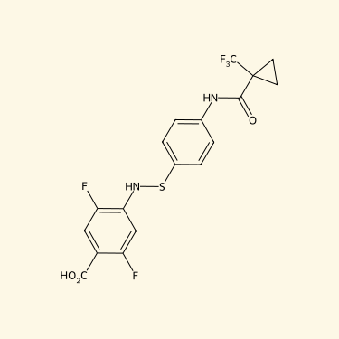 O=C(O)c1cc(F)c(NSc2ccc(NC(=O)C3(C(F)(F)F)CC3)cc2)cc1F